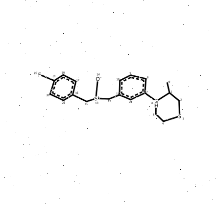 CC1CSCC[SH]1c1cccc(C[S+]([O-])Cc2ccc(F)cc2)c1